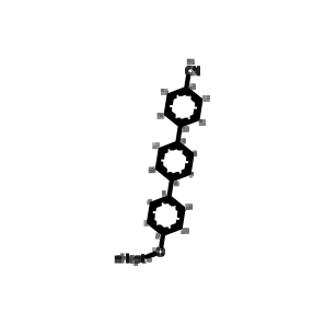 CCCCCCCOc1ccc(-c2ccc(-c3ccc(C#N)cc3)cc2)cc1